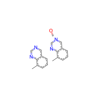 C=O.Cc1cccc2cncnc12.Cc1cccc2cncnc12